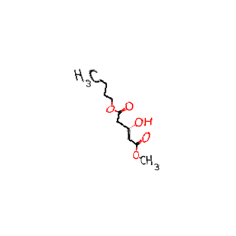 CCCCOC(=O)C[C@H](O)CC(=O)OC